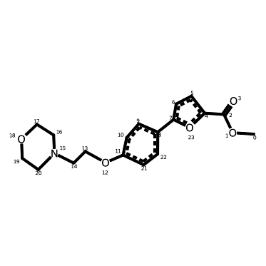 COC(=O)c1ccc(-c2ccc(OCCN3CCOCC3)cc2)o1